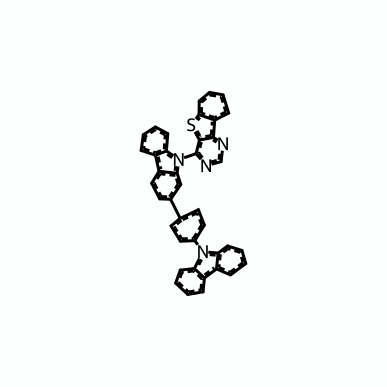 c1ccc2c(c1)sc1c(-n3c4ccccc4c4ccc(-c5ccc(-n6c7ccccc7c7ccccc76)cc5)cc43)ncnc12